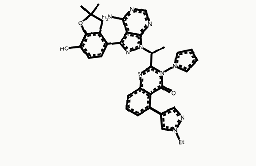 CCn1cc(-c2cccc3nc(C(C)n4nc(-c5ccc(O)c6c5CC(C)(C)O6)c5c(N)ncnc54)n(-n4cccc4)c(=O)c23)cn1